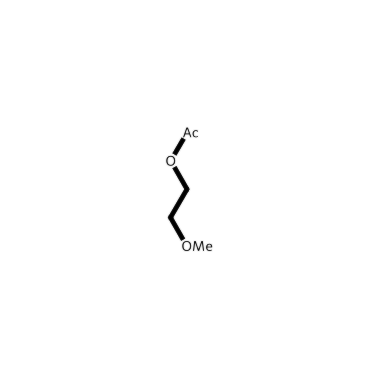 COCCOC(C)=O